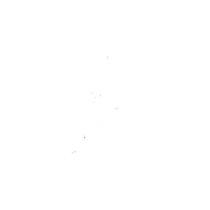 CCCOc1cc(Cl)cc(NC(=O)Nc2cncc(OC)n2)c1N